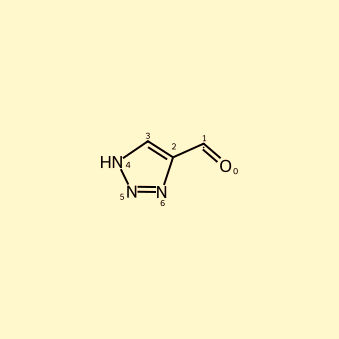 O=[C]c1c[nH]nn1